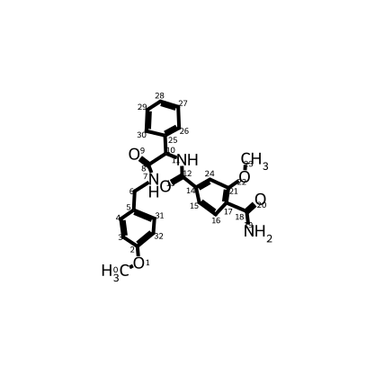 COc1ccc(CNC(=O)C(NC(=O)c2ccc(C(N)=O)c(OC)c2)c2ccccc2)cc1